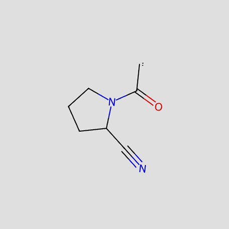 [CH]C(=O)N1CCCC1C#N